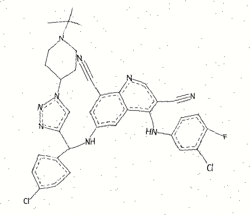 CC(C)(C)N1CCC(n2cc(C(Nc3cc(C#N)c4ncc(C#N)c(Nc5ccc(F)c(Cl)c5)c4c3)c3ccc(Cl)cc3)nn2)CC1